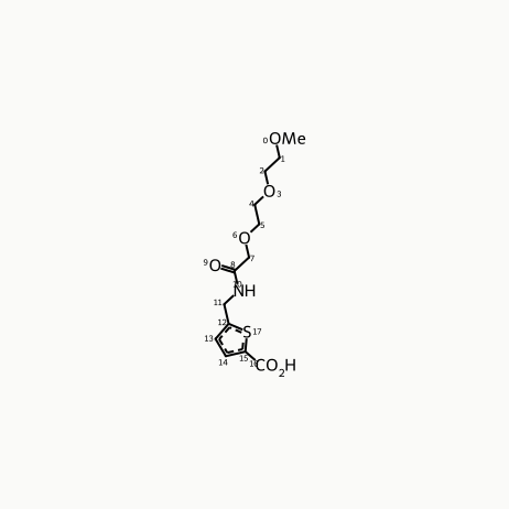 COCCOCCOCC(=O)NCc1ccc(C(=O)O)s1